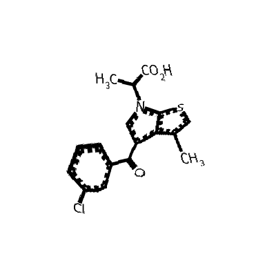 Cc1csc2c1c(C(=O)c1cccc(Cl)c1)cn2C(C)C(=O)O